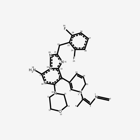 C=N/C=C(/C)N1C=C(c2c(N3CCOCC3)nc(N)n3nc(Cc4c(F)cccc4F)nc23)C=CC1